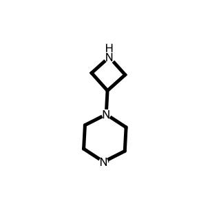 C1CN(C2CNC2)CC[N]1